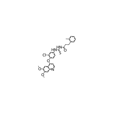 COc1cc2nccc(Oc3ccc(NC(=S)NC(=O)CCc4ccccc4C)cc3Cl)c2cc1OC